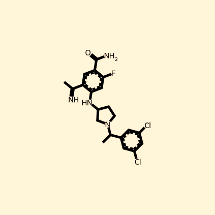 CC(=N)c1cc(C(N)=O)c(F)cc1NC1CCN(C(C)c2cc(Cl)cc(Cl)c2)C1